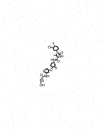 Cc1c(C(=O)Nc2ccc(Oc3ccnc(NC(=O)N4CC(O)C4)c3)c(F)c2)[nH]c(=O)n1-c1ccc(F)c(Cl)c1